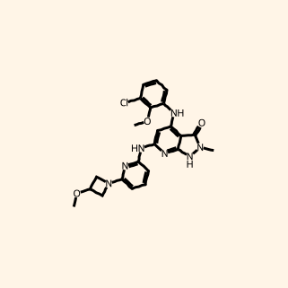 COc1c(Cl)cccc1Nc1cc(Nc2cccc(N3CC(OC)C3)n2)nc2[nH]n(C)c(=O)c12